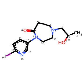 C[C@@H](O)CN1CCC(=O)N(c2ccc(I)nc2)CC1